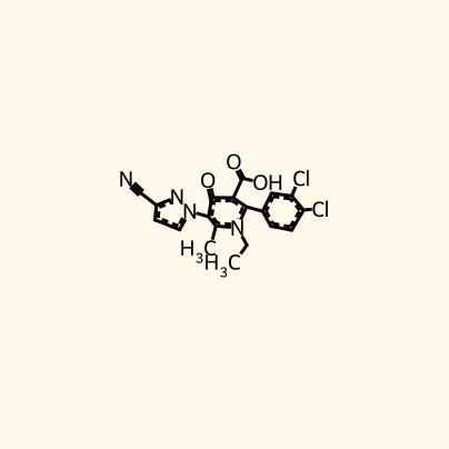 CCn1c(C)c(-n2ccc(C#N)n2)c(=O)c(C(=O)O)c1-c1ccc(Cl)c(Cl)c1